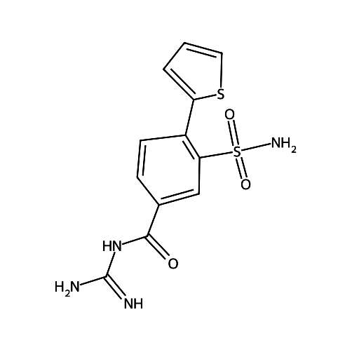 N=C(N)NC(=O)c1ccc(-c2cccs2)c(S(N)(=O)=O)c1